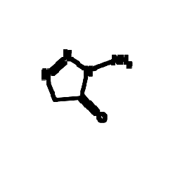 NN1N=NCC1=O